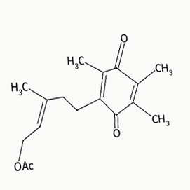 CC(=O)OCC=C(C)CCC1=C(C)C(=O)C(C)=C(C)C1=O